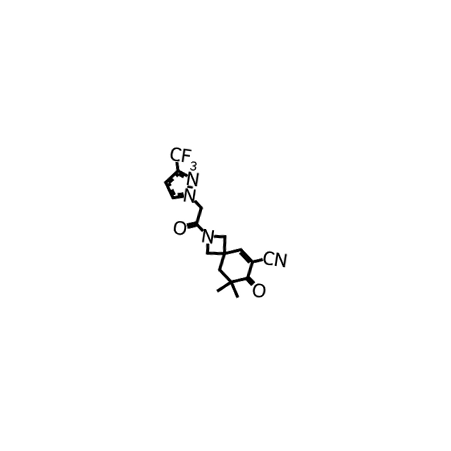 CC1(C)CC2(C=C(C#N)C1=O)CN(C(=O)Cn1ccc(C(F)(F)F)n1)C2